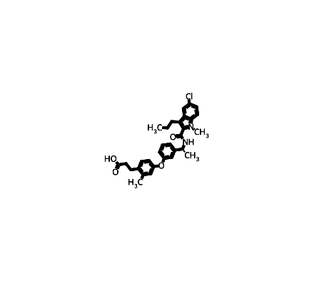 CCCc1c(C(=O)N[C@H](C)c2cccc(Oc3ccc(CCC(=O)O)c(C)c3)c2)n(C)c2ccc(Cl)cc12